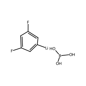 OB(O)O.[Li][c]1cc(F)cc(F)c1